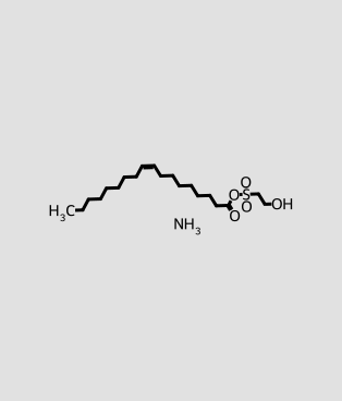 CCCCCCCC/C=C\CCCCCCCC(=O)OS(=O)(=O)CCO.N